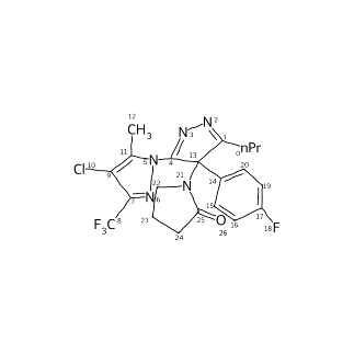 CCCC1=NN=C(n2nc(C(F)(F)F)c(Cl)c2C)C1(c1ccc(F)cc1)N1CCCC1=O